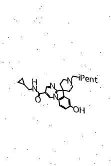 CCCC(C)CN1CCC(c2cccc(O)c2)(c2ncc(C(=O)NCC3CC3)cn2)CC1